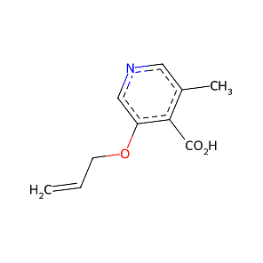 C=CCOc1cncc(C)c1C(=O)O